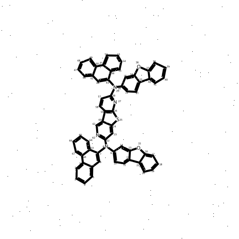 c1ccc2c(c1)cc(N(c1ccc3c(c1)oc1ccccc13)c1cc3sc4nc(N(c5ccc6c(c5)oc5ccccc56)c5cc6ccccc6c6ccccc56)ccc4c3cn1)c1ccccc12